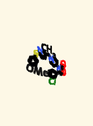 COc1ccc(Sc2ccc(CN3CCC(N4C(=O)OC[C@H]4c4cccc(Cl)c4)CC3)c(C)n2)cc1